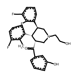 Cc1c(F)cccc1[C@H]1[C@@H](C(=O)c2cccc(O)c2)CN(CCO)C[C@@H]1c1cc[c]c(F)c1F